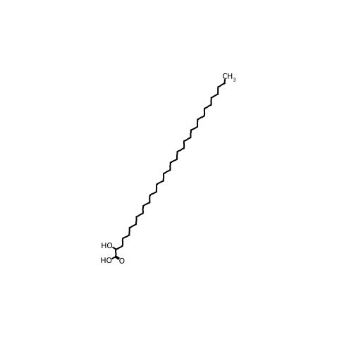 CCCCCCCCCCCCCCCCCCCCCCCCCCCCCCCCC(O)C(=O)O